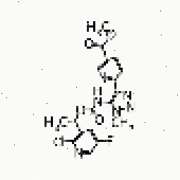 COC(=O)c1ccc(-c2nnn(C)c2NC(=O)OC(C)c2cc(F)cnc2Cl)nc1